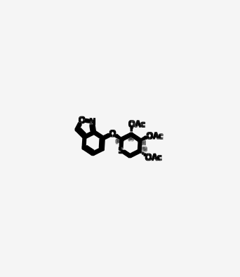 CC(=O)O[C@@H]1[C@@H](OC(C)=O)[C@H](OC(C)=O)CS[C@H]1Oc1cccc2conc12